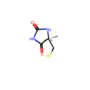 C[C@@]1(CS)NC(=O)NC1=O